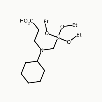 CCO[Si](CN(CCC(=O)O)C1CCCCC1)(OCC)OCC